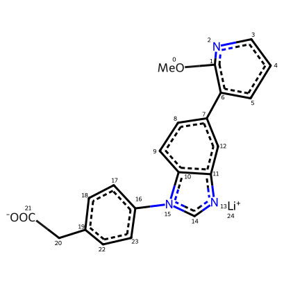 COc1ncccc1-c1ccc2c(c1)ncn2-c1ccc(CC(=O)[O-])cc1.[Li+]